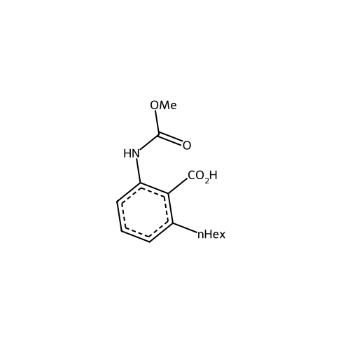 CCCCCCc1cccc(NC(=O)OC)c1C(=O)O